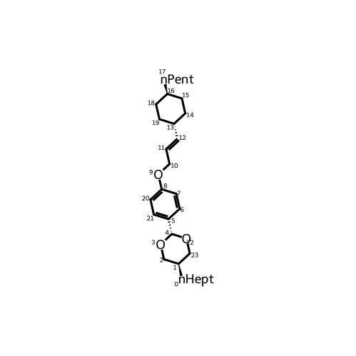 CCCCCCC[C@H]1CO[C@H](c2ccc(OCC=C[C@H]3CC[C@H](CCCCC)CC3)cc2)OC1